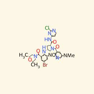 CNc1cncc(C(=O)N2C[C@H](Nc3c(C(=O)N4C[C@@H](C)O[C@@H](C)C4)cc(Br)cc3[N+](=O)[O-])C[C@H]2C(=O)Nc2ccnc(Cl)n2)c1